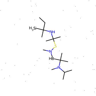 CCC(C)([SiH3])NC(C)(C)SN(C)BC(C)(C)N(C)C(C)C